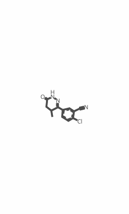 CC1CC(=O)NN=C1c1ccc(Cl)c(C#N)c1